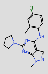 Cc1cc(Cl)ccc1Nc1nc(N2CCCC2)nc2c1cnn2C